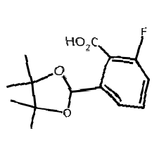 CC1(C)OC(c2cccc(F)c2C(=O)O)OC1(C)C